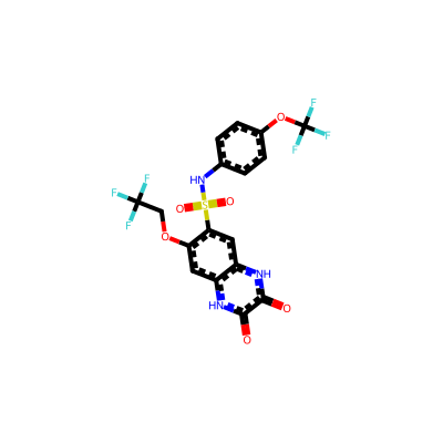 O=c1[nH]c2cc(OCC(F)(F)F)c(S(=O)(=O)Nc3ccc(OC(F)(F)F)cc3)cc2[nH]c1=O